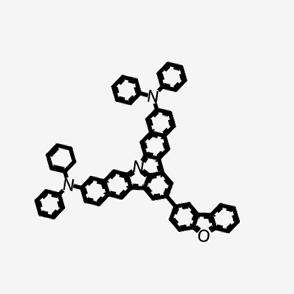 C1=CCCC(N(c2ccccc2)c2ccc3cc4c5cc(-c6ccc7oc8ccccc8c7c6)cc6c7cc8ccc(N(c9ccccc9)c9ccccc9)cc8cc7n(c4cc3c2)c56)=C1